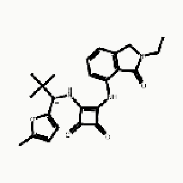 CCN1Cc2cccc(Nc3c(N[C@@H](c4ccc(C)o4)C(C)(C)C)c(=O)c3=O)c2C1=O